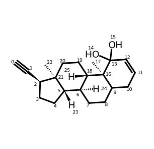 C#C[C@@H]1CC[C@H]2[C@@H]3CCC4CC=CC(O)(O)[C@]4(C)[C@H]3CC[C@]12C